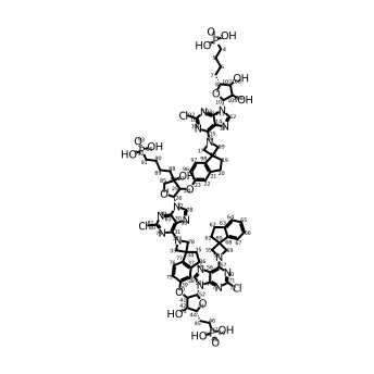 O=P(O)(O)CCCC[C@H]1O[C@@H](n2cnc3c(N4CC5(CCc6cc(OC7[C@H](n8cnc9c(N%10CC%11(CCc%12cc(OC%13C(O)[C@@H](CCP(=O)(O)O)O[C@H]%13n%13cnc%14c(N%15CC%16(CCc%17ccccc%17%16)C%15)nc(Cl)nc%14%13)ccc%12%11)C%10)nc(Cl)nc98)OCC7(O)CCCCP(=O)(O)O)ccc65)C4)nc(Cl)nc32)C(O)C1O